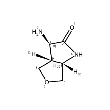 N[C@H]1C(=O)N[C@@H]2COC[C@@H]21